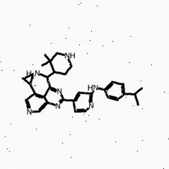 CC(C)c1ccc(Nc2cc(-c3nc(C(N)C4CCNCC4(C)C)c4c(C5CC5)cncc4n3)ccn2)cc1